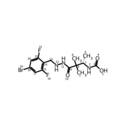 C[C@H](NC(=O)O)C(C)(C)C(=O)NNCc1c(F)cc(Br)cc1F